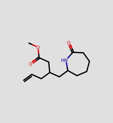 C=CCC(CC(=O)OC)CC1CCCCC(=O)N1